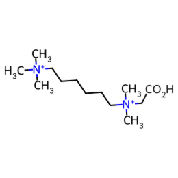 C[N+](C)(C)CCCCCC[N+](C)(C)CC(=O)O